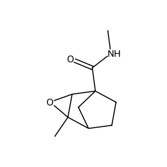 CNC(=O)C12CCC(C1)C1(C)OC21